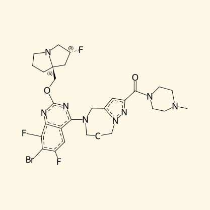 CN1CCN(C(=O)c2cc3n(n2)CCCN(c2nc(OC[C@@]45CCCN4C[C@H](F)C5)nc4c(F)c(Br)c(F)cc24)C3)CC1